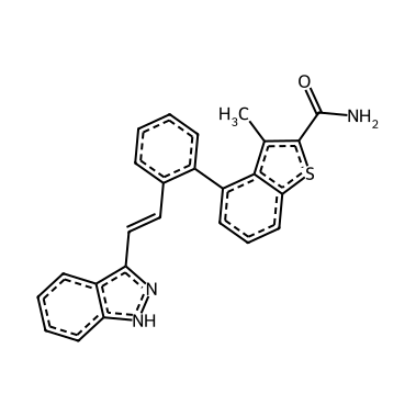 Cc1c(C(N)=O)sc2cccc(-c3ccccc3C=Cc3n[nH]c4ccccc34)c12